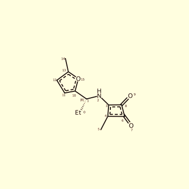 CC[C@@H](Nc1c(C)c(=O)c1=O)c1ccc(C)o1